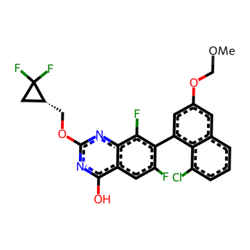 COCOc1cc(-c2c(F)cc3c(O)nc(OC[C@@H]4CC4(F)F)nc3c2F)c2c(Cl)cccc2c1